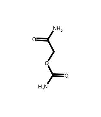 NC(=O)COC(N)=O